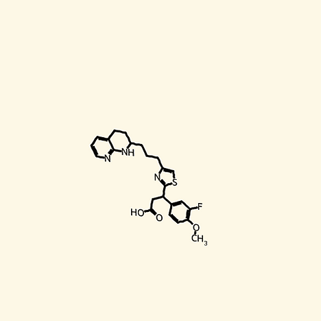 COc1ccc(C(CC(=O)O)c2nc(CCCC3CCc4cccnc4N3)cs2)cc1F